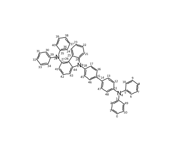 c1ccc(N(c2ccccc2)c2ccc(-c3ccc(-n4c5ccccc5c5c(N(c6ccccc6)c6ccccc6)cccc54)cc3)cc2)cc1